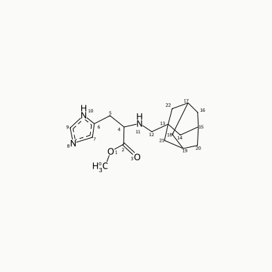 COC(=O)C(Cc1cnc[nH]1)NCC12CC3CC(CC(C3)C1)C2